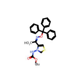 CC(C)(C)OC(=O)NN1CSC=C1C(=NOC(c1ccccc1)(c1ccccc1)c1ccccc1)C(=O)O